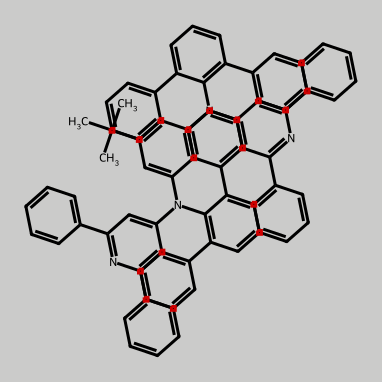 CC(C)(C)c1cc(N(c2cc(-c3ccccc3)nc(-c3ccccc3)c2)c2c(-c3ccccc3)cccc2-c2ccccc2)cc(N(c2cc(-c3ccccc3)nc(-c3ccccc3)c2)c2c(-c3ccccc3)cccc2-c2ccccc2)c1